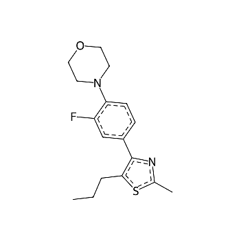 CCCc1sc(C)nc1-c1ccc(N2CCOCC2)c(F)c1